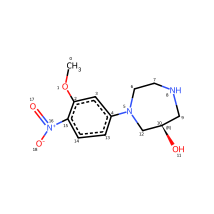 COc1cc(N2CCNC[C@@H](O)C2)ccc1[N+](=O)[O-]